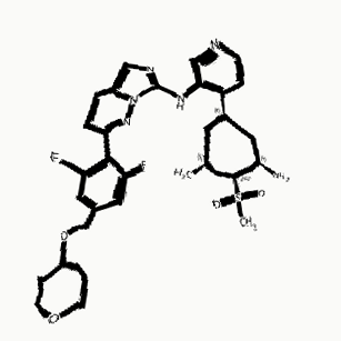 C[C@H]1C[C@@H](c2ccncc2Nc2ncc3ccc(-c4c(F)cc(COC5CCOCC5)cc4F)nn23)C[C@@H](N)[C@H]1S(C)(=O)=O